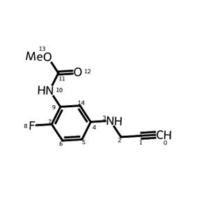 C#CCNc1ccc(F)c(NC(=O)OC)c1